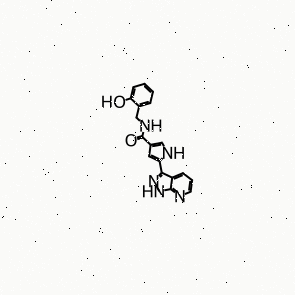 O=C(NCc1ccccc1O)c1c[nH]c(-c2n[nH]c3ncccc23)c1